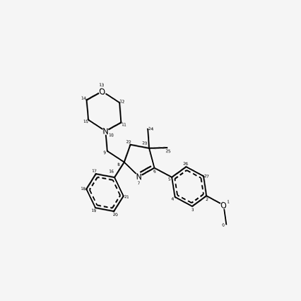 COc1ccc(C2=NC(CN3CCOCC3)(c3ccccc3)CC2(C)C)cc1